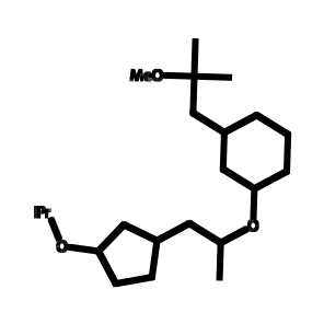 COC(C)(C)CC1CCCC(OC(C)CC2CCC(OC(C)C)C2)C1